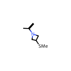 C=C(C)N1CC(SC)C1